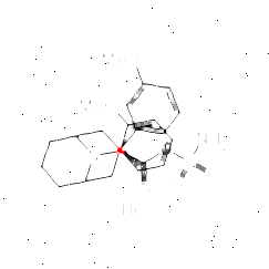 COc1cccc(C2(C(=O)OS(N)(=O)=O)CC3CCCC(C2)N3c2ccccc2OC)c1.Cl